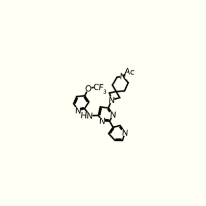 CC(=O)N1CCC2(CC1)CN(c1cc(Nc3cc(OC(F)(F)F)ccn3)nc(-c3cccnc3)n1)C2